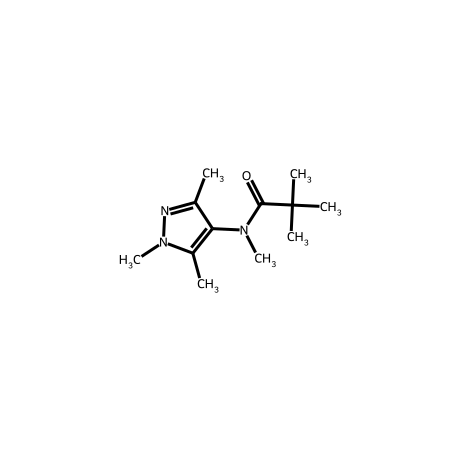 Cc1nn(C)c(C)c1N(C)C(=O)C(C)(C)C